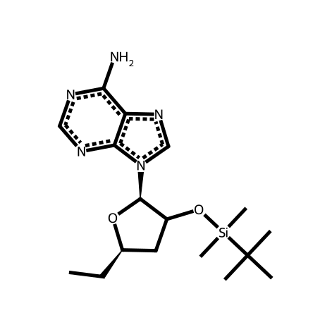 CC[C@@H]1CC(O[Si](C)(C)C(C)(C)C)[C@H](n2cnc3c(N)ncnc32)O1